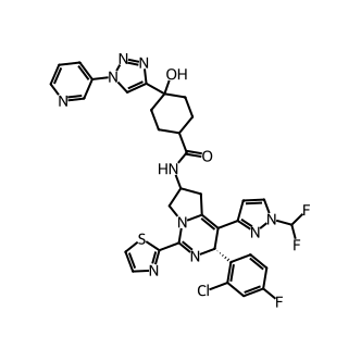 O=C(NC1CC2=C(c3ccn(C(F)F)n3)[C@H](c3ccc(F)cc3Cl)N=C(c3nccs3)N2C1)C1CCC(O)(c2cn(-c3cccnc3)nn2)CC1